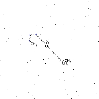 CC/C=C\C/C=C\C/C=C\CCCCCCCC(=O)OCCCCCCCCCCCCC(C)CC